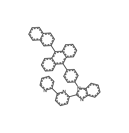 c1ccc(-c2cccc(-c3nc4ccccc4n3-c3ccc(-c4c5ccccc5c(-c5ccc6ccccc6c5)c5ccccc45)cc3)n2)nc1